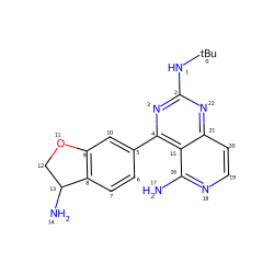 CC(C)(C)Nc1nc(-c2ccc3c(c2)OCC3N)c2c(N)nccc2n1